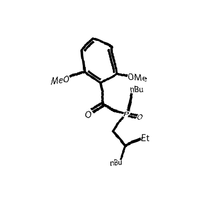 CCCCC(CC)CP(=O)(CCCC)C(=O)c1c(OC)cccc1OC